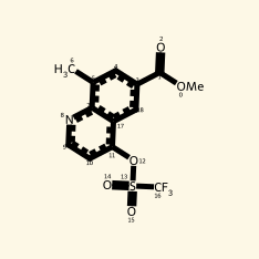 COC(=O)c1cc(C)c2nccc(OS(=O)(=O)C(F)(F)F)c2c1